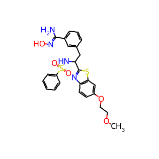 COCCOc1ccc2nc(C(Cc3cccc(C(N)=NO)c3)NS(=O)(=O)c3ccccc3)sc2c1